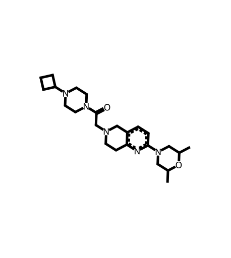 CC1CN(c2ccc3c(n2)CCN(CC(=O)N2CCN(C4CCC4)CC2)C3)CC(C)O1